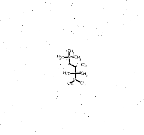 CC(C)(CC[N+](C)(C)C)N(Cl)Cl.[Cl-]